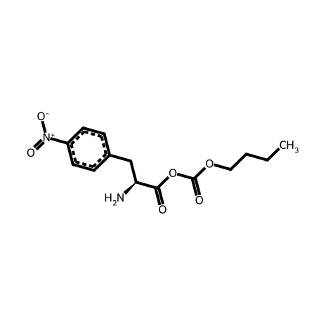 CCCCOC(=O)OC(=O)[C@@H](N)Cc1ccc([N+](=O)[O-])cc1